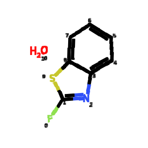 Fc1nc2ccccc2s1.O